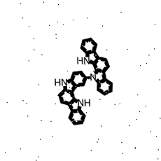 c1ccc2c(c1)[nH]c1c2ccc2[nH]c3ccc(-n4c5ccccc5c5ccc6c7ccccc7[nH]c6c54)cc3c21